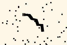 [CH]=CC=CC=CC[CH2]